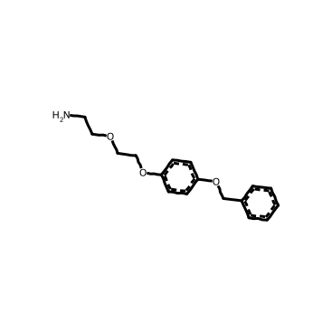 NCCOCCOc1ccc(OCc2ccccc2)cc1